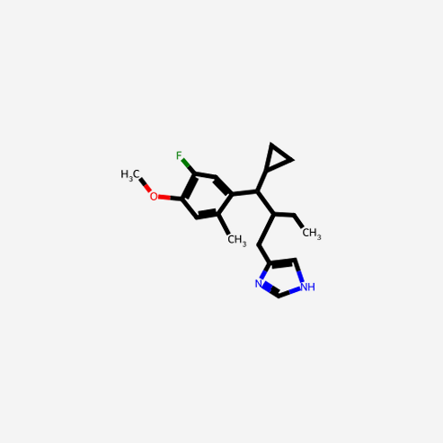 CCC(Cc1c[nH]cn1)C(c1cc(F)c(OC)cc1C)C1CC1